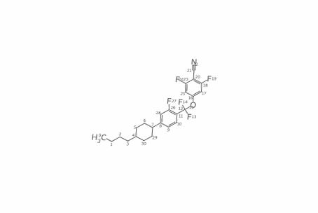 CCCCC1CCC(c2ccc(C(F)(F)Oc3cc(F)c(C#N)c(F)c3)c(F)c2)CC1